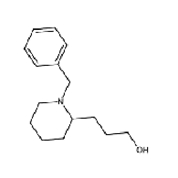 OCCCC1CCCCN1Cc1ccccc1